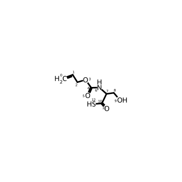 C=CCOC(=O)NC(CO)C(=O)S